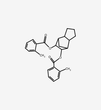 Cc1ccccc1C(=O)OC1C2CC(C3CCCC32)C1OC(=O)c1ccccc1C